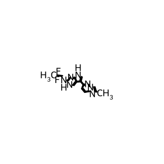 Cc1cn2nc(-c3c[nH]c4nc(NCC(C)(F)F)ncc34)ccc2n1